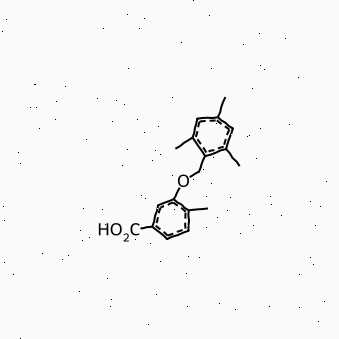 Cc1cc(C)c(COc2cc(C(=O)O)ccc2C)c(C)c1